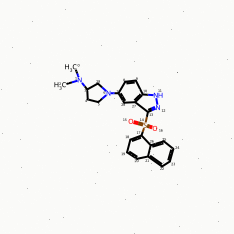 CN(C)C1CCN(c2ccc3[nH]nc(S(=O)(=O)c4cccc5ccccc45)c3c2)C1